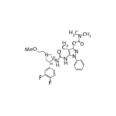 COCCN1C[C@@H](NC(=O)Nc2c(C)c(OC(=O)N(C)C)nn2-c2ccccc2)[C@H](c2ccc(F)c(F)c2)C1